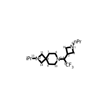 CCCN1CC(C(N2CCC3(CC2)CN(C(C)C)C3)C(F)(F)F)C1